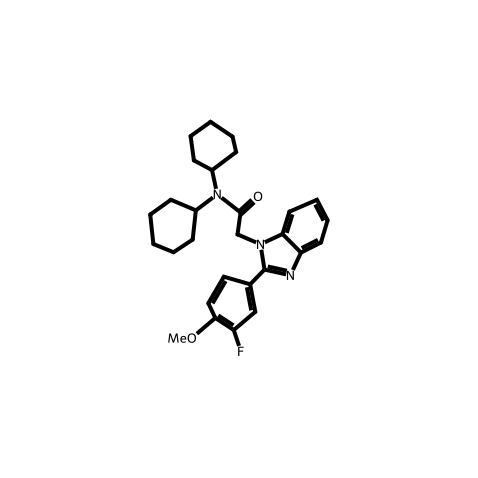 COc1ccc(-c2nc3ccccc3n2CC(=O)N(C2CCCCC2)C2CCCCC2)cc1F